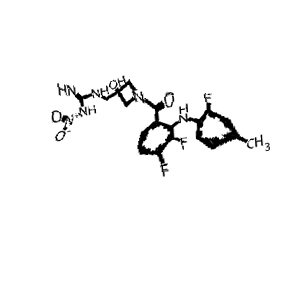 Cc1ccc(Nc2c(C(=O)N3CC(O)(CNC(=N)N[N+](=O)[O-])C3)ccc(F)c2F)c(F)c1